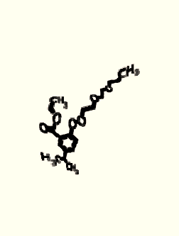 CCCOCCOCCOOc1ccc(C(C)C)cc1C(=O)OCC